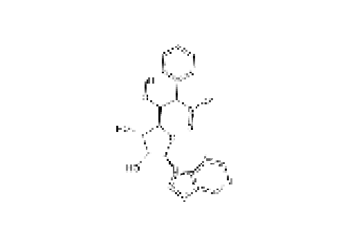 O=[N+]([O-])C(c1ccccc1)C(OS)[C@H]1O[C@@H](n2cnc3cncnc32)[C@H](O)[C@@H]1O